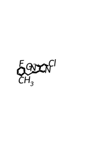 Cc1ccc(F)cc1Cc1cc2cnc(Cl)cc2c[n+]1[O-]